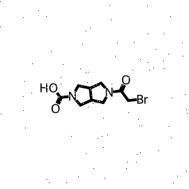 O=C(O)N1CC2CN(C(=O)CBr)CC2C1